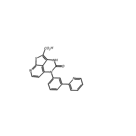 O=C(O)c1sc2nccc3c2c1NC(=O)N3c1cccc(-c2ccccn2)c1